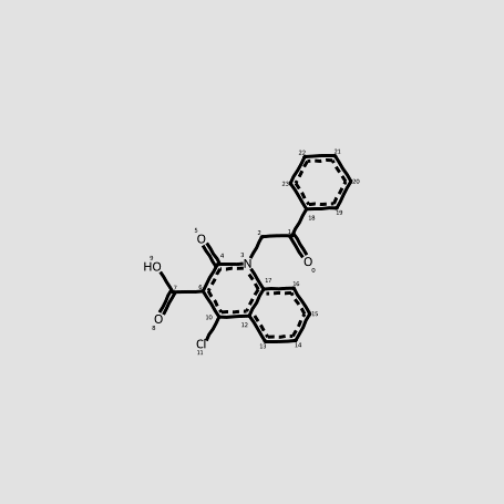 O=C(Cn1c(=O)c(C(=O)O)c(Cl)c2ccccc21)c1ccccc1